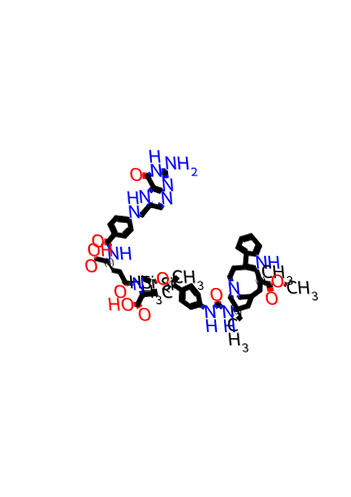 CC[C@]1(NC(=O)Nc2ccc([Si](C)(C)O[SiH]3CC(C(=O)O)N(C(=O)CC[C@H](NC(=O)c4ccc(NCc5cnc6nc(N)[nH]c(=O)c6n5)cc4)C(=O)O)C3)cc2)CC2CN(CCc3c([nH]c4ccccc34)[C@](C)(C(=O)OC)C2)C1